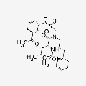 CC(=O)c1cccc(NS(=O)(=O)CN(CCCc2ccccc2)C(=O)[C@H](CC(C)C)NC(=O)O)c1